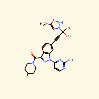 CC1=CN([C@](C)(O)C#Cc2ccc3c(C(=O)N4CCC(F)CC4)nn(-c4ccnc(N)n4)c3c2)NO1